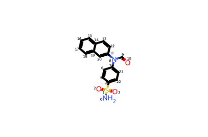 NS(=O)(=O)c1ccc(N(C=O)c2ccc3ccccc3c2)cc1